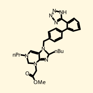 CCCCC1N=C2C(=CN(CCC)CN2CC(=O)OC)N1Cc1ccc(-c2ccccc2-c2nnn[nH]2)cc1